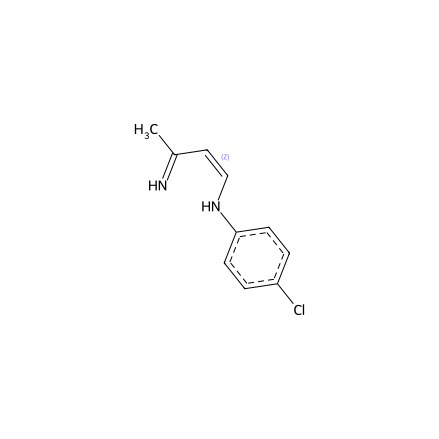 CC(=N)/C=C\Nc1ccc(Cl)cc1